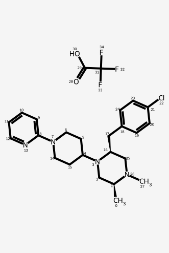 C[C@H]1CN(C2CCN(c3ccccn3)CC2)[C@@H](Cc2ccc(Cl)cc2)CN1C.O=C(O)C(F)(F)F